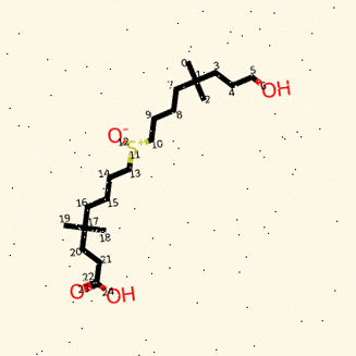 CC(C)(CCCO)CCCC[S+]([O-])CCCCC(C)(C)CCC(=O)O